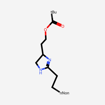 CCCCCCCCCCCC1=NC(CCOC(=O)C(C)(C)C)CN1